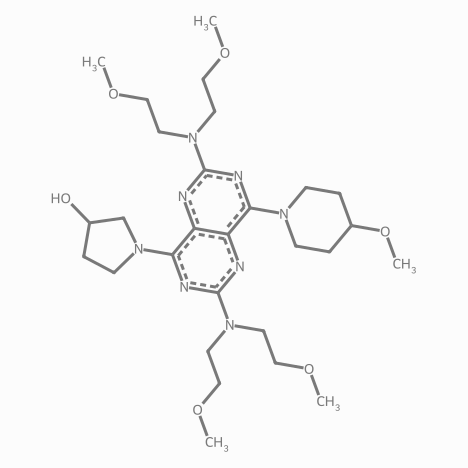 COCCN(CCOC)c1nc(N2CCC(O)C2)c2nc(N(CCOC)CCOC)nc(N3CCC(OC)CC3)c2n1